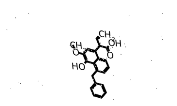 C=CC(C(=O)O)c1cc(OC)c(O)c2c(Cc3ccccc3)cccc12